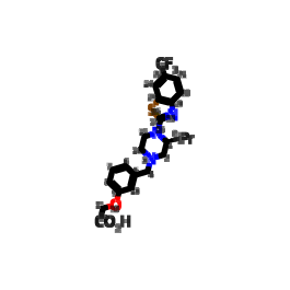 CC(C)[C@H]1CN(Cc2cccc(OCC(=O)O)c2)CCN1c1nc2ccc(C(F)(F)F)cc2s1